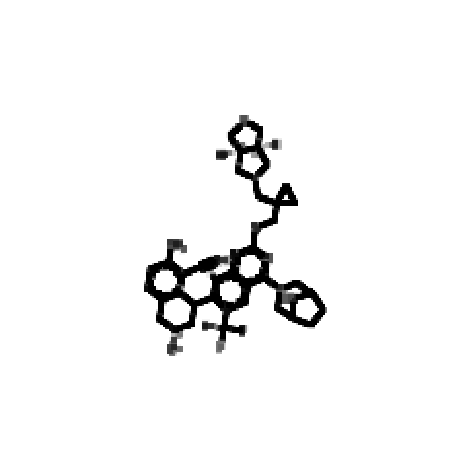 C#Cc1c(C)ccc2c1C(c1c(C(F)(F)F)cc3c(N4CC5CCC(C4)N5)nc(OCC4(CN5C[C@H]6COC[C@H]6C5)CC4)nc3c1F)C[C@H](O)C2